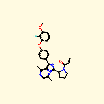 C=CC(=O)N1CCCC1c1nc(-c2ccc(Oc3cccc(OC)c3F)cc2)c2c(C)ncc(C)n12